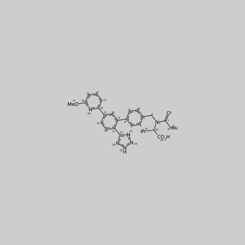 CCCCC(=O)N(Cc1ccc(-c2cc(-c3cccc(OC)n3)ccc2-c2nn[nH]n2)cc1)C(C(=O)O)C(C)C